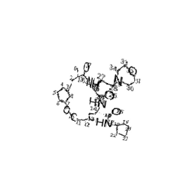 C[C@@H]1Cc2cccc(c2)OCCCC[C@@H](C(=O)NC2CCCC2)NC(=O)[C@H](CCN2CCOCC2)NC1=O